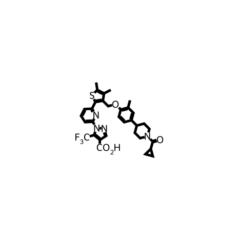 Cc1cc(C2CCN(C(=O)C3CC3)CC2)ccc1OCc1c(-c2cccc(-n3ncc(C(=O)O)c3C(F)(F)F)n2)sc(C)c1C